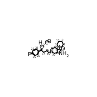 C=O.NC(=O)C1(N2CCCCC2)CCN(CCCC(=O)c2ccc(F)cc2)CC1